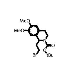 COc1cc2c(cc1OC)C(CCBr)N(C(=O)OC(C)(C)C)CC2